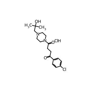 CC(C)(O)CN1CCN(C(=O)CCC(=O)c2ccc(Cl)cc2)CC1.Cl